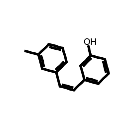 Cc1cccc(/C=C\c2cccc(O)c2)c1